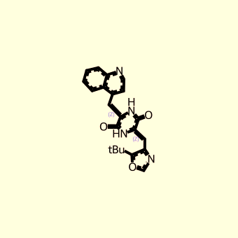 CC(C)(C)c1ocnc1/C=c1\[nH]c(=O)/c(=C/c2ccnc3ccccc23)[nH]c1=O